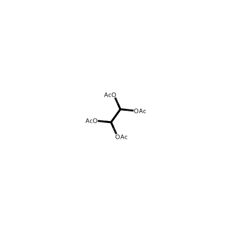 CC(=O)OC(OC(C)=O)C(OC(C)=O)OC(C)=O